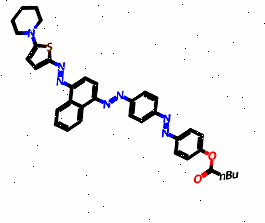 CCCCC(=O)Oc1ccc(N=Nc2ccc(N=Nc3ccc(N=Nc4ccc(N5CCCCC5)s4)c4ccccc34)cc2)cc1